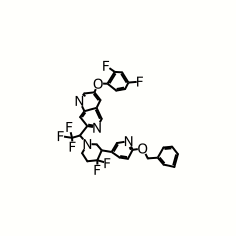 Fc1ccc(Oc2cnc3cc(C(N4CCC(F)(F)C(c5ccc(OCc6ccccc6)nc5)C4)C(F)(F)F)ncc3c2)c(F)c1